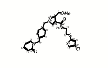 COCc1nn(Cc2ccc(Cn3ccccc3=O)cc2)cc1C(=O)NCCSc1cc(Cl)cs1